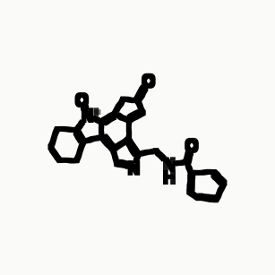 O=C1C=c2c(c3c(c4c2=C(CNC(=O)c2ccccc2)N=C4)C2=C(CCCC2)[N+]3=O)C1